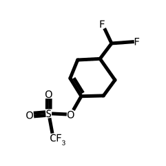 O=S(=O)(OC1=CCC(C(F)F)CC1)C(F)(F)F